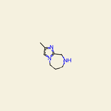 Cc1cn2c(n1)CNCCC2